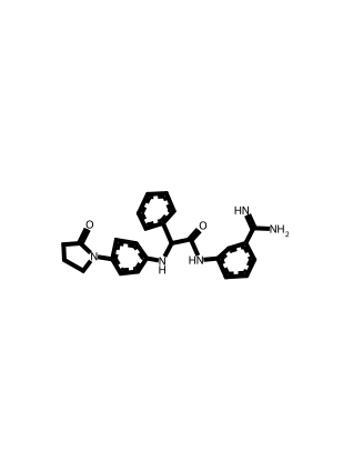 N=C(N)c1cccc(NC(=O)C(Nc2ccc(N3CCCC3=O)cc2)c2ccccc2)c1